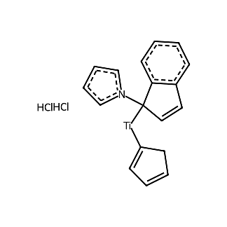 C1=CC[C]([Ti][C]2(n3cccc3)C=Cc3ccccc32)=C1.Cl.Cl